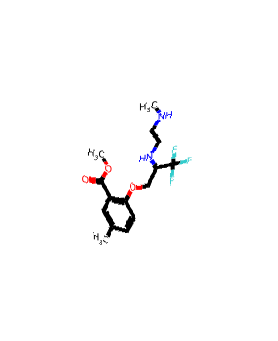 CNCCNC(COc1ccc(C)cc1C(=O)OC)C(F)(F)F